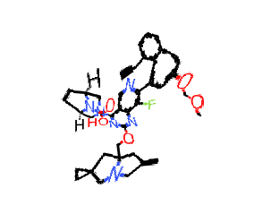 C#Cc1cccc2cc(OCOC)cc(-c3ncc4c(N5C[C@H]6CC[C@@H](C5)N6C(=O)O)nc(OCC56CC(=C)CN5CC5(CC5)C6)nc4c3F)c12